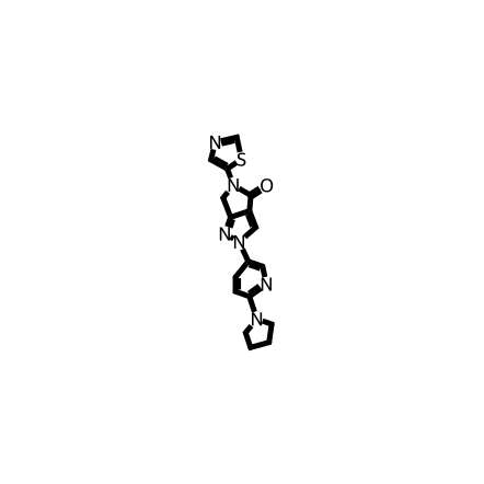 O=C1c2cn(-c3ccc(N4CCCC4)nc3)nc2CN1c1cncs1